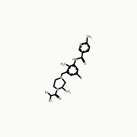 CCC(CC)C(=O)N1CCN(Cc2cc(F)cc(NC(=O)c3ccc(C)nc3)c2C)CC1C